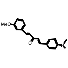 COc1cccc(/C=C/C(=O)/C=C/c2ccc(N(C)C)cc2)c1